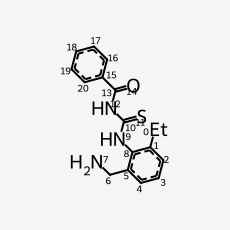 CCc1cccc(CN)c1NC(=S)NC(=O)c1ccccc1